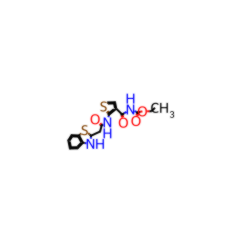 CCOC(=O)NC(=O)c1ccsc1NC(=O)CC1Nc2ccccc2S1